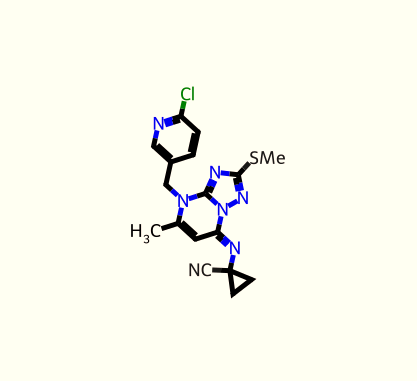 CSc1nc2n(Cc3ccc(Cl)nc3)c(C)c/c(=N\C3(C#N)CC3)n2n1